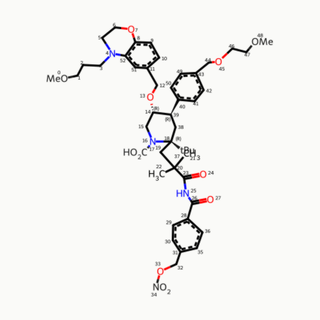 COCCCN1CCOc2ccc(CO[C@H]3CN(C(=O)O)[C@](CC(C)(C)C(=O)NC(=O)c4ccc(CO[N+](=O)[O-])cc4)(C(C)(C)C)C[C@@H]3c3ccc(COCCOC)cc3)cc21